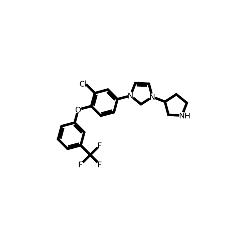 FC(F)(F)c1cccc(Oc2ccc(N3C=CN(C4CCNC4)C3)cc2Cl)c1